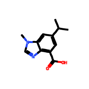 CC(C)c1cc(C(=O)O)c2ncn(C)c2c1